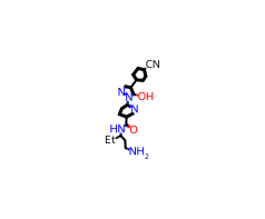 CCC(CCN)NC(=O)c1ccc(-n2ncc(-c3ccc(C#N)cc3)c2O)nc1